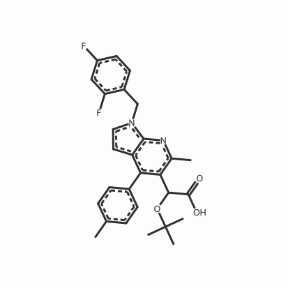 Cc1ccc(-c2c(C(OC(C)(C)C)C(=O)O)c(C)nc3c2ccn3Cc2ccc(F)cc2F)cc1